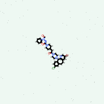 O=CNN=C(Oc1ccccc1)N1CCC(CC(=O)N2CCN(C3c4ccc(Cl)cc4CCc4cc(Br)cnc43)CC2)CC1